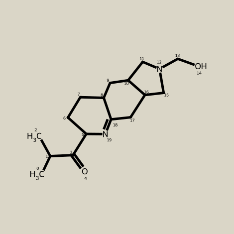 CC(C)C(=O)C1CCC2CC3CN(CO)CC3CC2=N1